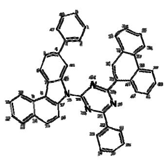 c1ccc(-c2ccc3c4c5ccccc5ccc4n(-c4nc(-c5ccccc5)nc(-c5cc6ccccc6c6ccccc56)n4)c3c2)cc1